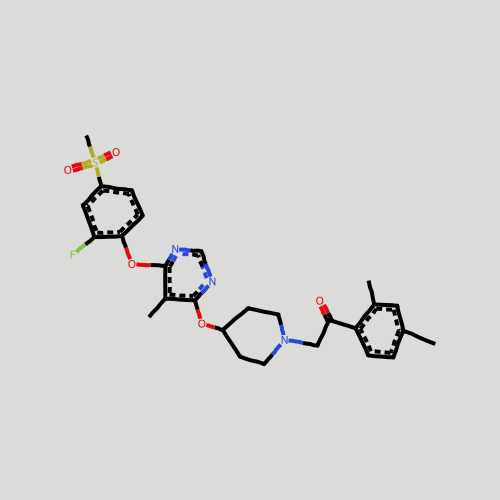 Cc1ccc(C(=O)CN2CCC(Oc3ncnc(Oc4ccc(S(C)(=O)=O)cc4F)c3C)CC2)c(C)c1